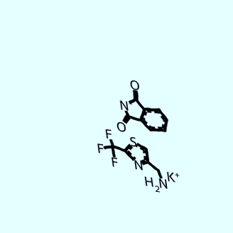 NCc1csc(C(F)(F)F)n1.O=C1[N-]C(=O)c2ccccc21.[K+]